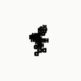 CC1(C)CCOc2c(C(=O)N[C@H]3CN4C(=N)N[C@@H](CNC(=O)c5cc(Cl)cc(Cl)c5)[C@@H]5NC(=N)N[C@@]54C3(O)O)cccc21